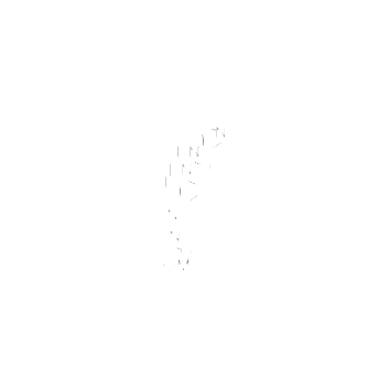 COCC(=O)N1CCN(Cc2cccc(NC(=O)Nc3ccnc(C)c3)c2F)CC1